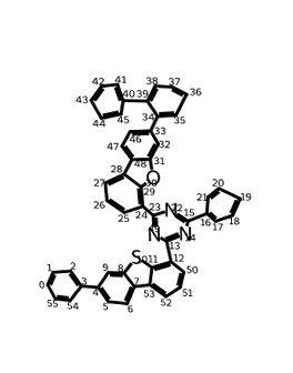 c1ccc(-c2ccc3c(c2)sc2c(-c4nc(-c5ccccc5)nc(-c5cccc6c5oc5cc(-c7ccccc7-c7ccccc7)ccc56)n4)cccc23)cc1